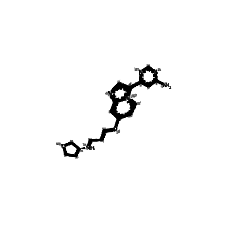 Nc1cc(-c2cnc3cc(OCCCN[C@@H]4CCOC4)ccn23)ncn1